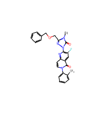 CCn1c(COCc2ccccc2)nn(-c2nc3ccn(-c4ccccc4C(F)(F)F)c(=O)c3cc2F)c1=O